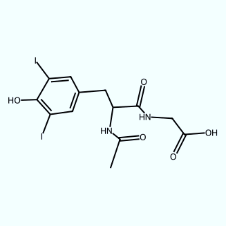 CC(=O)NC(Cc1cc(I)c(O)c(I)c1)C(=O)NCC(=O)O